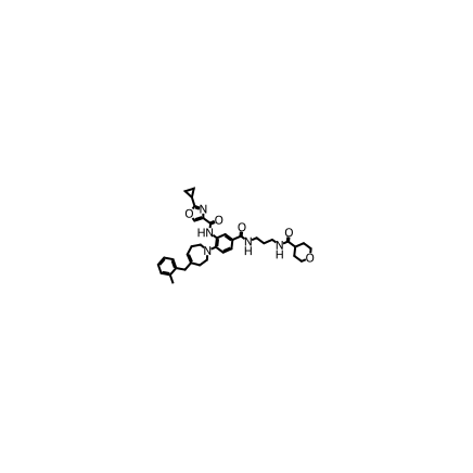 Cc1ccccc1CC1=CCCN(c2ccc(C(=O)NCCCNC(=O)C3CCOCC3)cc2NC(=O)c2coc(C3CC3)n2)CC1